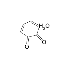 O.O=C1C=CC=CC1=O